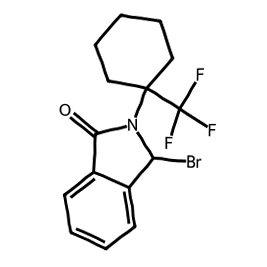 O=C1c2ccccc2C(Br)N1C1(C(F)(F)F)CCCCC1